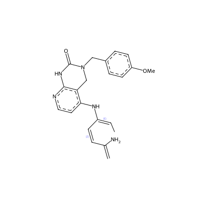 C=C(N)/C=C\C(=C/C)Nc1ccnc2c1CN(Cc1ccc(OC)cc1)C(=O)N2